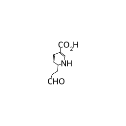 O=CCCC1C=CC(C(=O)O)=CN1